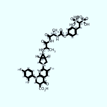 CC(N[C@H]1[C@@H]2CN(c3nc4c(cc3F)C(=O)C(C(=O)O)CN4c3ccc(F)cc3F)C[C@@H]21)C(=O)NC(=O)[C@H](C)NC(=O)Oc1ccc(CC(P(=O)(O)O)P(=O)(O)O)cc1